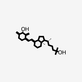 C=C1CC/C(=C/C=C2\CCC[C@@]3(C)C2CCC3[C@H](C)CCCC(C)(C)O)C(=C)[C@H]1O